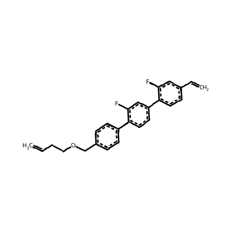 C=CCCOCc1ccc(-c2ccc(-c3ccc(C=C)cc3F)cc2F)cc1